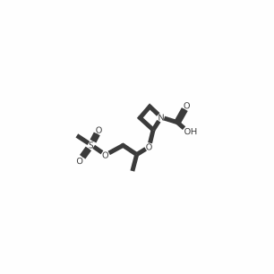 CC(COS(C)(=O)=O)OC1CCN1C(=O)O